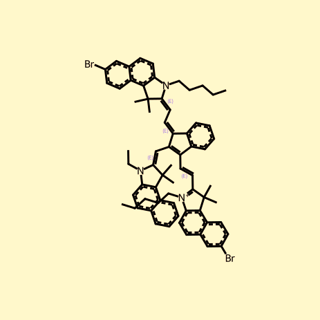 CCCCCN1/C(=C/C=C2C(/C=C3/N(CC)c4ccc5ccccc5c4C3(C)C)=C(/C=C/C3=[N+](CCCCC)c4ccc5cc(Br)ccc5c4C3(C)C)c3ccccc3/2)C(C)(C)c2c1ccc1cc(Br)ccc21